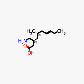 CCC=CC[C@@H](C)C[C@H](CN)CC(=O)O